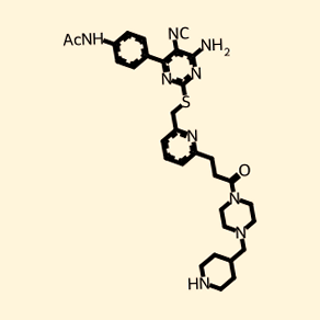 [C-]#[N+]c1c(N)nc(SCc2cccc(CCC(=O)N3CCN(CC4CCNCC4)CC3)n2)nc1-c1ccc(NC(C)=O)cc1